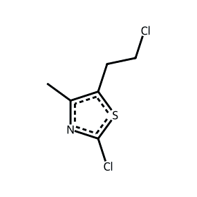 Cc1nc(Cl)sc1CCCl